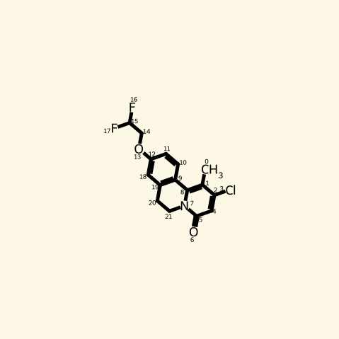 Cc1c(Cl)cc(=O)n2c1-c1ccc(OCC(F)F)cc1CC2